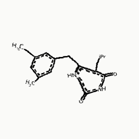 Cc1cc(C)cc(Cc2[nH]c(=O)[nH]c(=O)c2C(C)C)c1